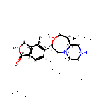 Cc1c([C@H]2CN3CCNC[C@@H]3CCO2)ccc2c1COC2=O